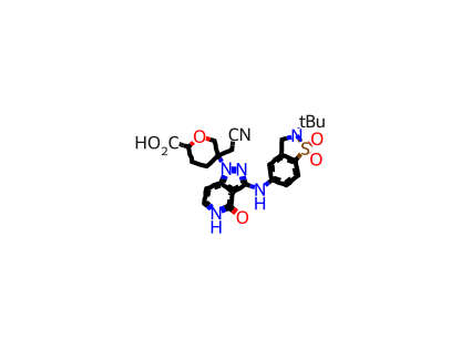 CC(C)(C)N1Cc2cc(Nc3nn(C4(CC#N)CCC(C(=O)O)OC4)c4cc[nH]c(=O)c34)ccc2S1(=O)=O